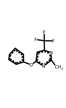 Cc1nc(Oc2ccccc2)cc(C(F)(F)F)n1